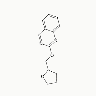 c1ccc2nc(OCC3CCCO3)ncc2c1